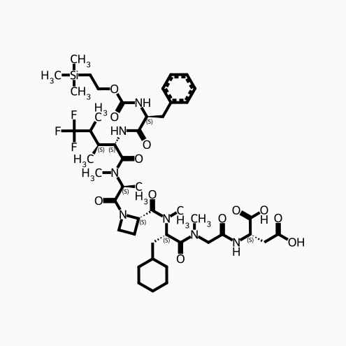 CC([C@H](C)[C@H](NC(=O)[C@H](Cc1ccccc1)NC(=O)OCC[Si](C)(C)C)C(=O)N(C)[C@@H](C)C(=O)N1CC[C@H]1C(=O)N(C)[C@@H](CC1CCCCC1)C(=O)N(C)CC(=O)N[C@@H](CC(=O)O)C(=O)O)C(F)(F)F